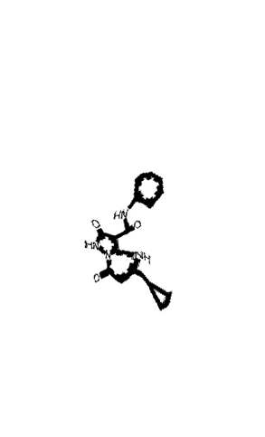 O=C(Nc1ccccc1)c1c(=O)[nH]n2c(=O)cc(C3CC3)[nH]c12